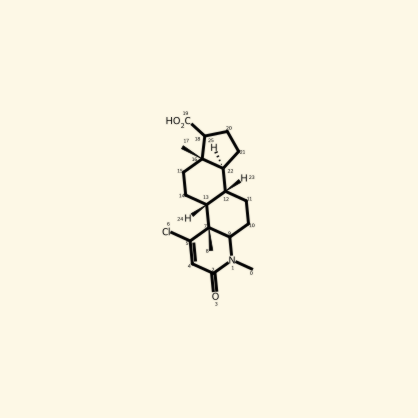 CN1C(=O)C=C(Cl)[C@@]2(C)C1CC[C@@H]1[C@H]2CC[C@]2(C)C(C(=O)O)CC[C@@H]12